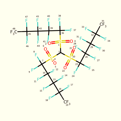 O=S(=O)(C(S(=O)(=O)C(F)(F)C(F)(F)C(F)(F)C(F)(F)C(F)(F)F)S(=O)(=O)C(F)(F)C(F)(F)C(F)(F)C(F)(F)C(F)(F)F)C(F)(F)C(F)(F)C(F)(F)C(F)(F)C(F)(F)F